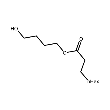 CCCCCCCCC(=O)OCCCCO